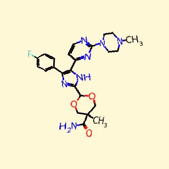 CN1CCN(c2nccc(-c3[nH]c(C4OCC(C)(C(N)=O)CO4)nc3-c3ccc(F)cc3)n2)CC1